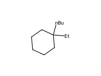 CCCCC1(CC)CCCCC1